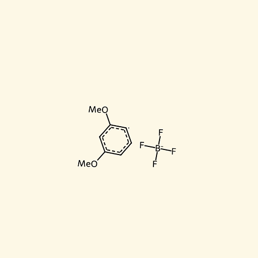 COc1[c]ccc(OC)c1.F[B-](F)(F)F